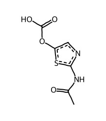 CC(=O)Nc1ncc(OC(=O)O)s1